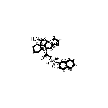 CN(CC(=O)OC1CCCCC1(C(N)=S)c1ccc2nccn2c1)S(=O)(=O)c1ccc2ccccc2c1